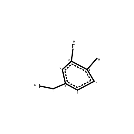 Cc1ccc(CI)cc1F